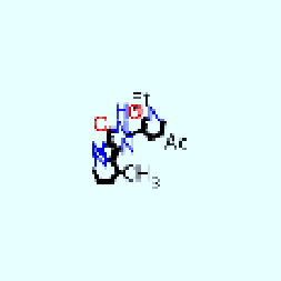 CCOc1ncc(C(C)=O)cc1-c1nc2c3n(nc2c(=O)[nH]1)CCCC3C